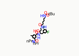 CCCN(CCC)C(=O)c1cc(C)cc(C(=O)NC(Cc2cc(F)cc(F)c2)C(O)CCNC(=O)CCCCCNC(=O)OC(C)(C)C)c1